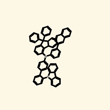 C1=CC2c3c(N(c4ccc(-c5ccccc5-n5c6ccccc6c6ccccc65)cc4)c4cccc(-c5ccc6ccccc6c5)c4)cccc3C(c3ccccc3)(c3ccccc3)C2C=C1